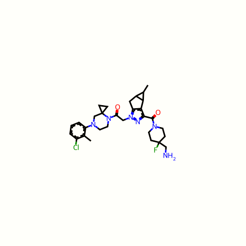 Cc1c(Cl)cccc1N1CCN(C(=O)Cn2nc(C(=O)N3CCC(F)(CN)CC3)c3c2CC2C(C)C32)C2(CC2)C1